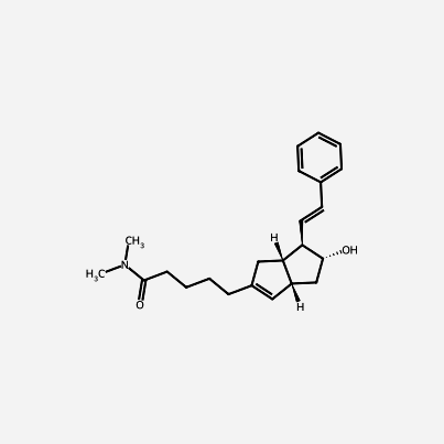 CN(C)C(=O)CCCCC1=C[C@H]2C[C@@H](O)[C@H](/C=C/c3ccccc3)[C@H]2C1